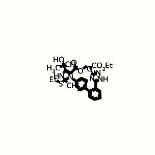 CCOC(=O)OCOC(=O)C1=C(C(C)(C)O)NC(C)(SCC)N1c1ccc(-c2ccccc2-c2nnn[nH]2)cc1